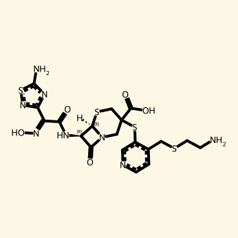 NCCSCc1ccncc1SC1(C(=O)O)CS[C@@H]2[C@H](NC(=O)C(=NO)c3nsc(N)n3)C(=O)N2C1